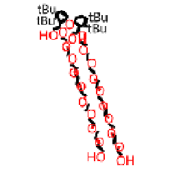 CC(C)(C)c1ccc(Oc2ccc(C(C)(C)C)c(C(C)(C)C)c2C(CO)OCCOCCOCCOCCOCCOCCOCCOCCOCCO)c(C(CO)OCCOCCOCCOCCOCCOCCOCCOCCOCCO)c1C(C)(C)C